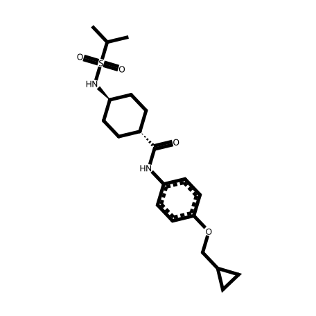 CC(C)S(=O)(=O)N[C@H]1CC[C@H](C(=O)Nc2ccc(OCC3CC3)cc2)CC1